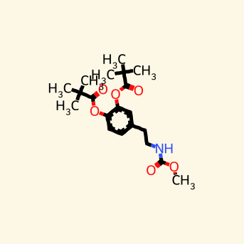 COC(=O)NCCc1ccc(OC(=O)C(C)(C)C)c(OC(=O)C(C)(C)C)c1